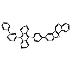 c1ccc(-c2cccc(-c3c4ccccc4c(-c4ccc(-c5ccc6oc7c8ccccc8ccc7c6c5)cc4)c4ccccc34)c2)cc1